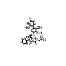 CCC(CC)COC(=O)[C@H](C)NP(=O)(OC[C@H]1O[C@@H](N2N=CC(=O)NC2O)[C@@H](O)[C@H]1O)Oc1ccccc1